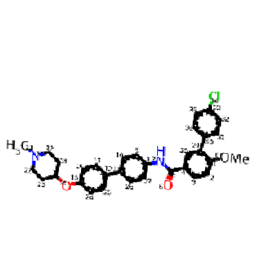 COc1ccc(C(=O)Nc2ccc(-c3ccc(OC4CCN(C)CC4)cc3)cc2)cc1-c1ccc(Cl)cc1